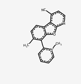 Cc1ccc2c(oc3nccc(C#N)c32)c1-c1cccc[n+]1C